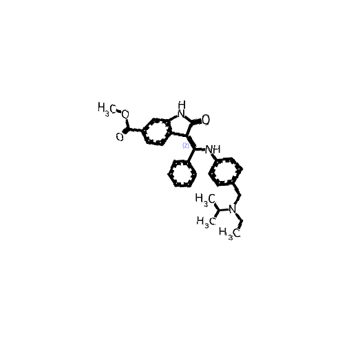 CCN(Cc1ccc(N/C(=C2\C(=O)Nc3cc(C(=O)OC)ccc32)c2ccccc2)cc1)C(C)C